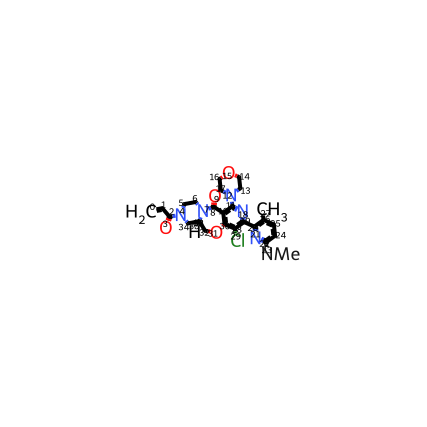 C=CC(=O)N1CCN2C(=O)c3c(N4CCOCC4)nc(-c4nc(NC)ccc4C)c(Cl)c3OC[C@H]2C1